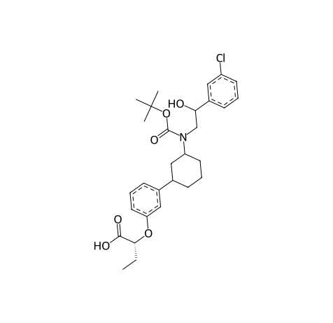 CC[C@@H](Oc1cccc(C2CCCC(N(CC(O)c3cccc(Cl)c3)C(=O)OC(C)(C)C)C2)c1)C(=O)O